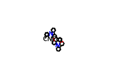 CCC1C=CC=C(N2C3=C(C=CCC3)C3=CCCCC32)C1c1ccccc1C1=CC2=C(CC1C)N(c1cccc(C#N)c1)C1C=CC=CC21